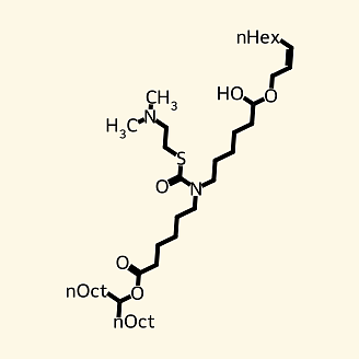 CCCCCC/C=C\COC(O)CCCCCN(CCCCCC(=O)OC(CCCCCCCC)CCCCCCCC)C(=O)SCCN(C)C